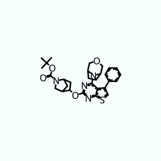 CC(C)(C)OC(=O)N1CC2CC1CC2Oc1nc(N2C3CCC2COC3)c2c(-c3ccccc3)csc2n1